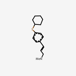 CNCC=Cc1ccc(SC2CCCCC2)cc1